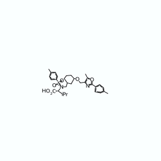 Cc1ccc(-c2nc(COC3CCCC(CN([C@H](C(=O)O)C(C)C)S(=O)(=O)c4ccc(C)cc4)C3)c(C)o2)cc1